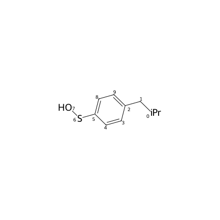 CC(C)Cc1ccc(SO)cc1